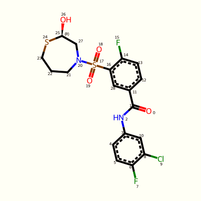 O=C(Nc1ccc(F)c(Cl)c1)c1ccc(F)c(S(=O)(=O)N2CCCS[C@@H](O)C2)c1